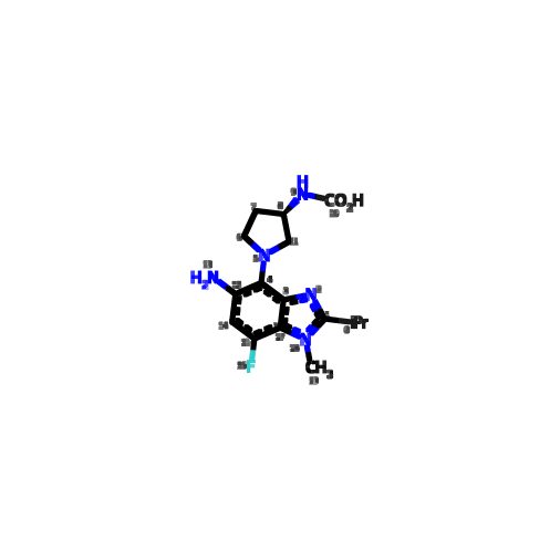 CC(C)c1nc2c(N3CC[C@@H](NC(=O)O)C3)c(N)cc(F)c2n1C